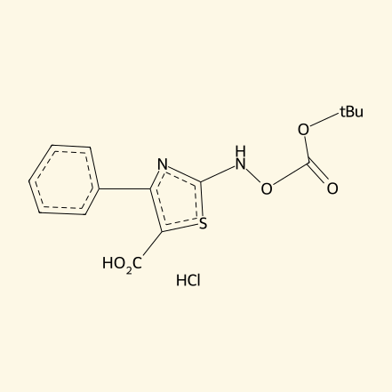 CC(C)(C)OC(=O)ONc1nc(-c2ccccc2)c(C(=O)O)s1.Cl